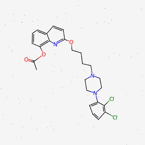 CC(=O)Oc1cccc2ccc(OCCCCN3CCN(c4cccc(Cl)c4Cl)CC3)nc12